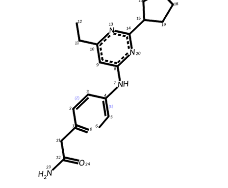 C=C(/C=C\C(=C/C)Nc1cc(CC)nc(C2CCCC2)n1)CC(N)=O